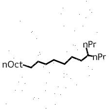 [CH2]CCC(CCC)CCCCCCCCCCCCCCC